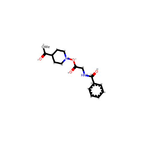 COC(=O)C1CCN(OC(=O)CNC(=O)c2ccccc2)CC1